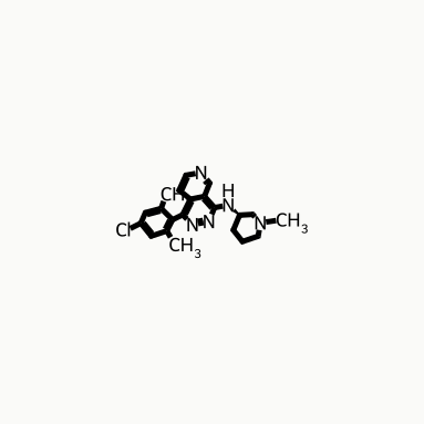 Cc1cc(Cl)cc(C)c1-c1nnc(N[C@@H]2CCCN(C)C2)c2cnccc12